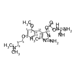 COc1cc(OCCCN(C)C)ccc1Cc1c(C)nc(N)nc1OC(=O)ONC(=N)N